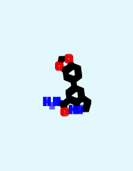 NC(=O)c1cc(-c2ccc3c(c2)OCO3)cc2cc[nH]c12